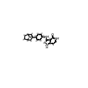 O=c1[nH]ccc2[nH]nc(Nc3ccc(C4CC5CCC(C4)N5)cc3)c12